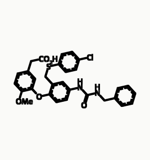 COc1ccc(CC(=O)O)cc1Oc1ccc(NC(=O)NCc2ccccc2)cc1CSc1ccc(Cl)cc1